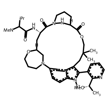 CCn1c(-c2cccnc2[C@H](C)OC)c2c3cc(ccc31)N1CCCO[C@@H](C[C@H](NC(=O)C(NC)C(C)C)C(=O)N3CCC[C@H](N3)C(=O)OCC(C)(C)C2)C1